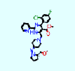 COC[C@H]1CCCN1N=C1CCN(CC2=C(C(=O)OC)C(c3ccc(F)cc3Cl)N=C(c3ccccn3)N2)CC1